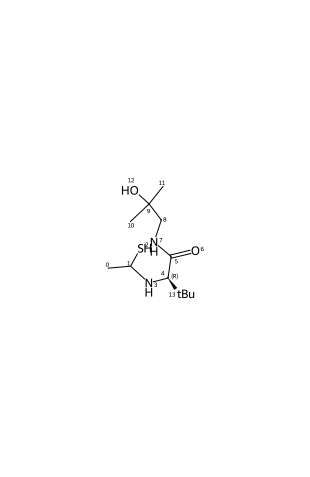 CC(S)N[C@@H](C(=O)NCC(C)(C)O)C(C)(C)C